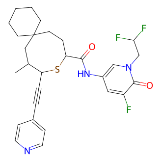 CC1CC2(CCCCC2)CCC(C(=O)Nc2cc(F)c(=O)n(CC(F)F)c2)SC1C#Cc1ccncc1